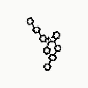 c1ccc(-c2ccc(-c3cccc(-c4c5ccccc5n5c6cc(-c7ccc(-c8ccccc8)cc7)ccc6n(-c6ccccc6)c45)c3)cc2)cc1